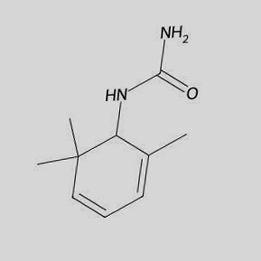 CC1=CC=CC(C)(C)C1NC(N)=O